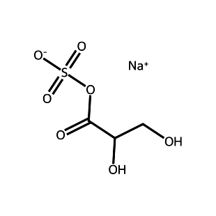 O=C(OS(=O)(=O)[O-])C(O)CO.[Na+]